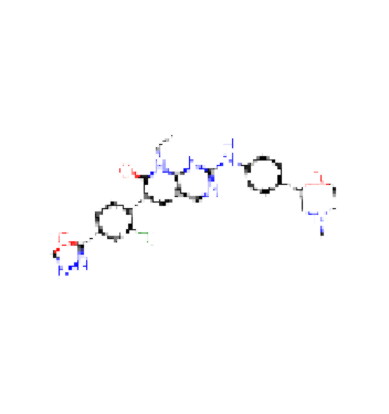 CCn1c(=O)c(-c2ccc(-c3nnco3)cc2Cl)cc2cnc(Nc3ccc(C4CN(C)CCO4)cc3)nc21